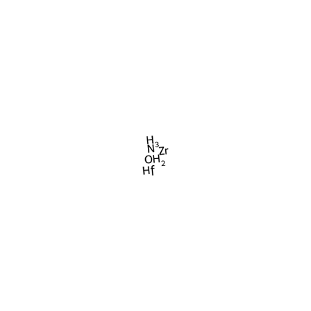 N.O.[Hf].[Zr]